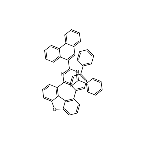 c1ccc(-c2ccc(-c3cccc4oc5cccc(-c6nc(-c7ccccc7)nc(-c7cc8ccccc8c8ccccc78)n6)c5c34)cc2)cc1